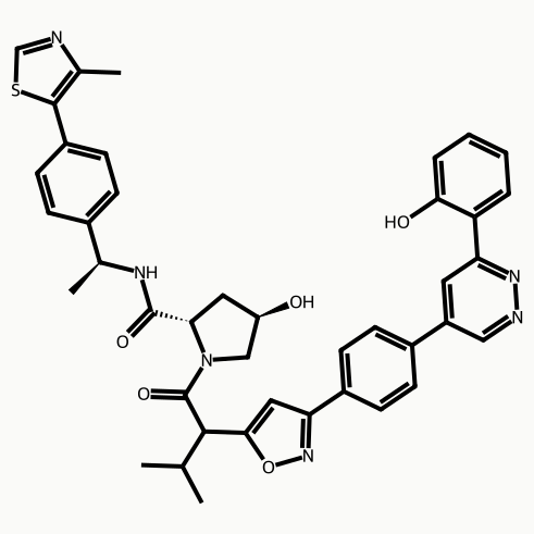 Cc1ncsc1-c1ccc([C@H](C)NC(=O)[C@@H]2C[C@@H](O)CN2C(=O)C(c2cc(-c3ccc(-c4cnnc(-c5ccccc5O)c4)cc3)no2)C(C)C)cc1